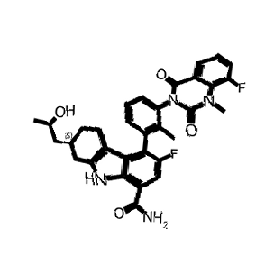 Cc1c(-c2c(F)cc(C(N)=O)c3[nH]c4c(c23)CC[C@H](CC(C)O)C4)cccc1-n1c(=O)c2cccc(F)c2n(C)c1=O